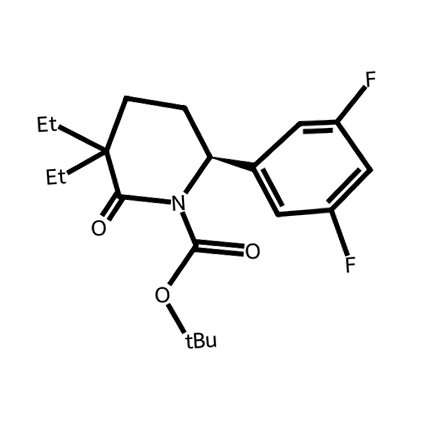 CCC1(CC)CC[C@@H](c2cc(F)cc(F)c2)N(C(=O)OC(C)(C)C)C1=O